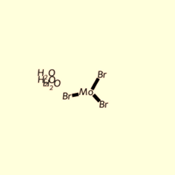 O.O.O.[Br][Mo]([Br])[Br]